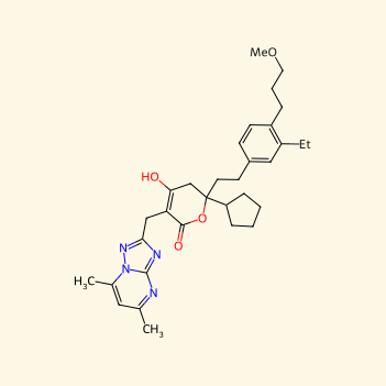 CCc1cc(CCC2(C3CCCC3)CC(O)=C(Cc3nc4nc(C)cc(C)n4n3)C(=O)O2)ccc1CCCOC